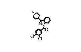 CN1CCC(c2nn(C(=O)c3ccc(Cl)c(Cl)c3)c3ccccc23)CC1